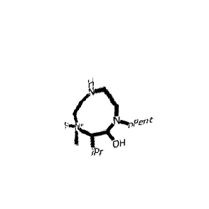 CCCCCN1CCNCC[N+](C)(F)C(C(C)C)C1O